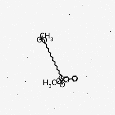 CCOC(=O)C1(OCCCCCCCCCCCCCCCCOC(C)=O)C=CC(c2ccccc2)=CC1